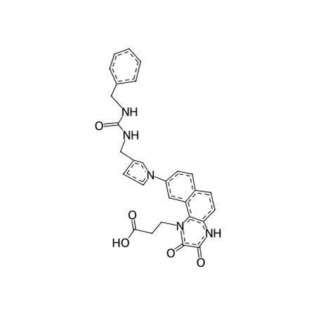 O=C(O)CCn1c(=O)c(=O)[nH]c2ccc3ccc(-n4ccc(CNC(=O)NCc5ccccc5)c4)cc3c21